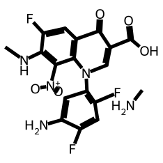 CN.CNc1c(F)cc2c(=O)c(C(=O)O)cn(-c3cc(N)c(F)cc3F)c2c1[N+](=O)[O-]